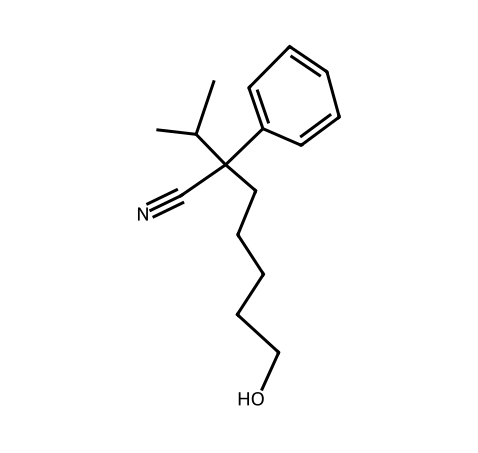 CC(C)C(C#N)(CCCCCO)c1ccccc1